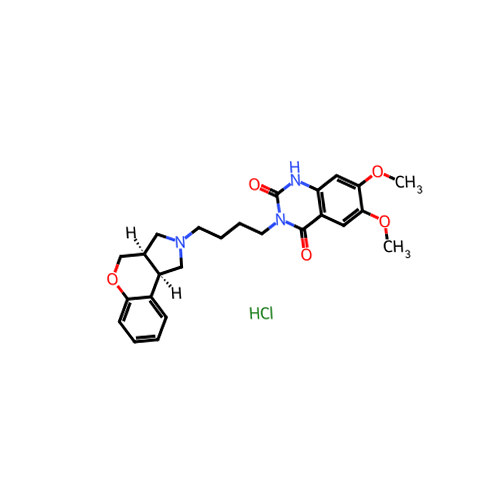 COc1cc2[nH]c(=O)n(CCCCN3C[C@@H]4COc5ccccc5[C@@H]4C3)c(=O)c2cc1OC.Cl